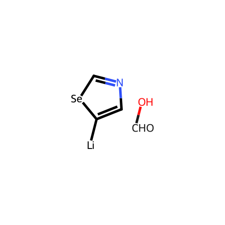 O=CO.[Li][c]1cnc[se]1